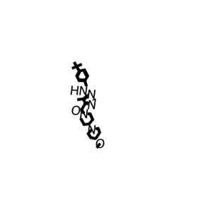 COC1CCN(C2CCN(C(=O)c3ncnc(NCc4ccc(C(C)(C)C)cc4)c3C)CC2)CC1